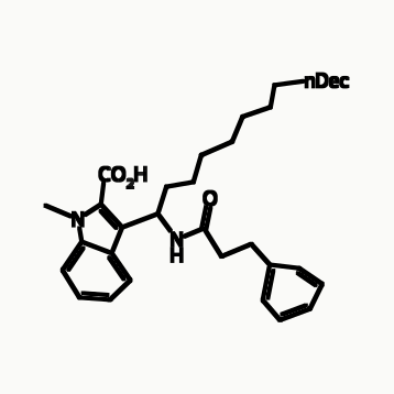 CCCCCCCCCCCCCCCCCC(NC(=O)CCc1ccccc1)c1c(C(=O)O)n(C)c2ccccc12